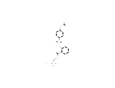 CC(C)(C)C(=O)Oc1ccc(S(=O)(=O)Nc2ccccc2C(=O)NCP(=O)(O)O)cc1